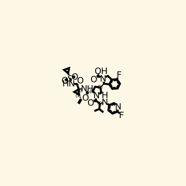 C=C[C@@H]1C[C@]1(NC(=O)[C@@H]1C[C@@H](C2c3cccc(F)c3CN2C(=O)O)CN1C(=O)[C@@H](Nc1ccc(F)nc1)C(C)C)C(=O)NS(=O)(=O)C1CC1